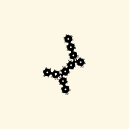 C1=C(c2ccccc2)CCC(N(c2ccc(-c3ccccc3)cc2)c2ccc(-c3ccc(N(c4ccccc4)c4ccc(-c5ccc(-c6ccccc6)cc5)cc4)cc3)cc2)=C1